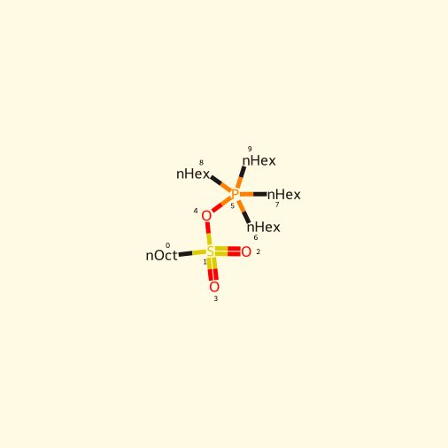 CCCCCCCCS(=O)(=O)OP(CCCCCC)(CCCCCC)(CCCCCC)CCCCCC